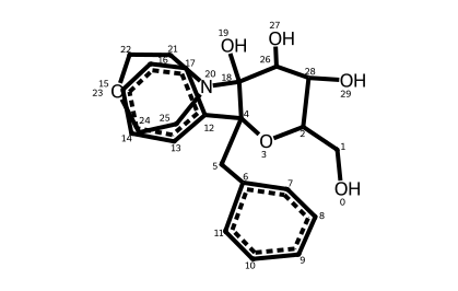 OCC1OC(Cc2ccccc2)(c2ccccc2)C(O)(N2CCOCC2)C(O)C1O